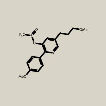 COCCCc1cnc(-c2ccc(OC)cc2)c(OS(=O)C(F)(F)F)c1